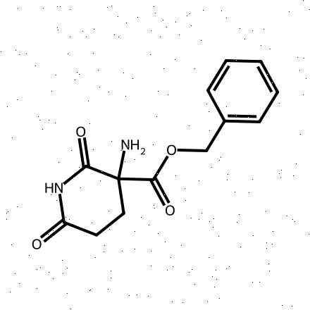 NC1(C(=O)OCc2ccccc2)CCC(=O)NC1=O